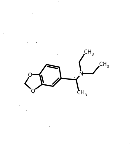 CCN(CC)C(C)c1ccc2c(c1)OCO2